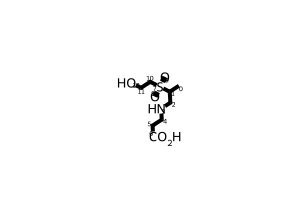 CC(CNCCC(=O)O)S(=O)(=O)CCO